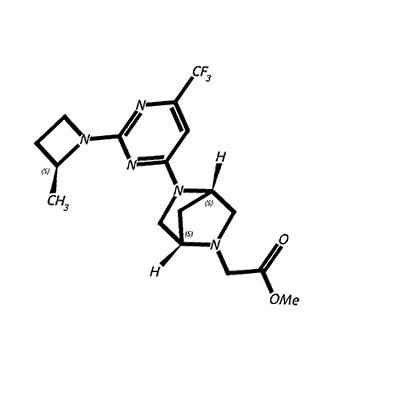 COC(=O)CN1C[C@@H]2C[C@H]1CN2c1cc(C(F)(F)F)nc(N2CC[C@@H]2C)n1